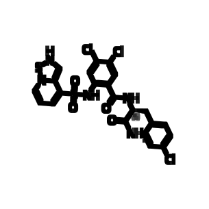 NC(=O)[C@H](Cc1ccc(Cl)cc1)NC(=O)c1cc(Cl)c(Cl)cc1NS(=O)(=O)C1=CC=CN2SNC=C12